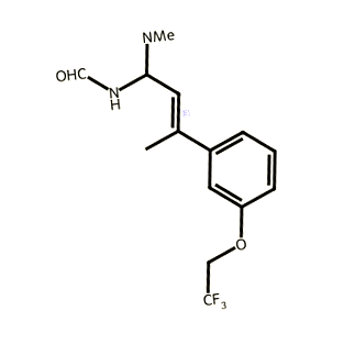 CNC(/C=C(\C)c1cccc(OCC(F)(F)F)c1)NC=O